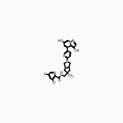 CC1(CNC(=O)c2ncc(F)cc2Cl)CC2CN(c3ccc(-c4cc(O)cn5ncc(C#N)c45)cn3)CC2C1